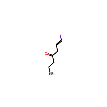 CCCCCCC(=O)CC=CI